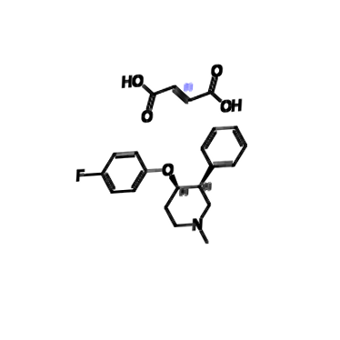 CN1CC[C@@H](Oc2ccc(F)cc2)[C@@H](c2ccccc2)C1.O=C(O)/C=C/C(=O)O